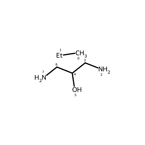 CCC.NCC(O)CN